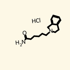 Cl.NC(=O)CCCCCN1CCc2ccccc2C1